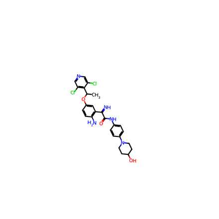 CC(Oc1ccc(N)c(C(=N)C(=O)Nc2ccc(N3CCC(O)CC3)cc2)c1)c1c(Cl)cncc1Cl